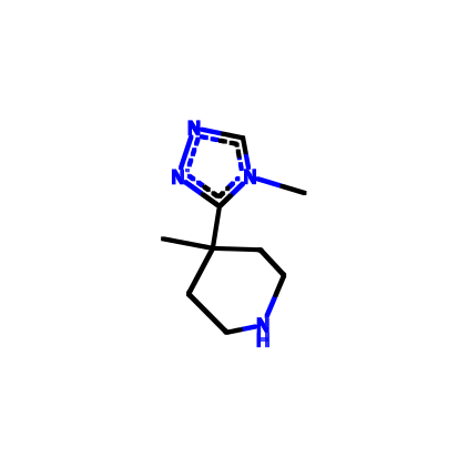 Cn1cnnc1C1(C)CCNCC1